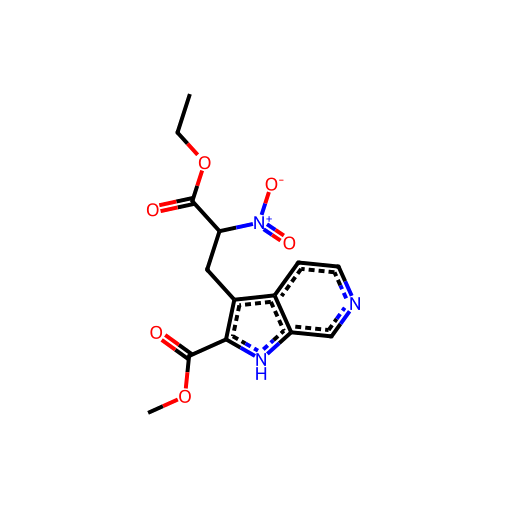 CCOC(=O)C(Cc1c(C(=O)OC)[nH]c2cnccc12)[N+](=O)[O-]